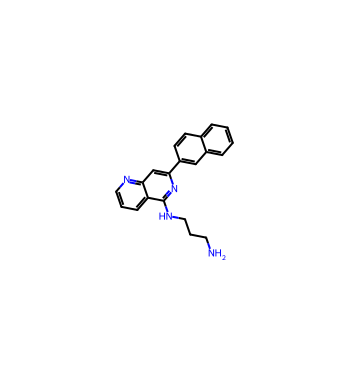 NCCCNc1nc(-c2ccc3ccccc3c2)cc2ncccc12